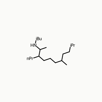 CCCC(CCCC(C)CCC(C)C)C(C)NC(C)CC